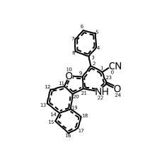 N#Cc1c(-c2ccccc2)c2oc3ccc4ccccc4c3c2[nH]c1=O